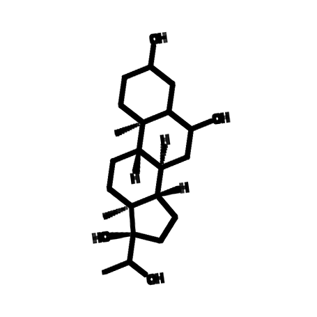 CC(O)[C@@]1(O)CC[C@H]2[C@@H]3CC(O)C4CC(O)CC[C@]4(C)[C@H]3CC[C@@]21C